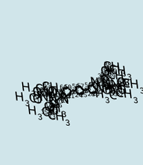 COC(=O)N[C@H](C(=O)N1C[C@H](OC(C)(C)C)CC1c1nc2cc(-c3ccc(-c4ccc5[nH]c([C@@H]6C[C@@H](OC(C)(C)C)CN6C(=O)[C@@H](NC(=O)OC)C(C)C)nc5c4)cc3)ccc2[nH]1)C(C)C